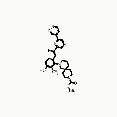 CC(C)(C)OC(=O)N1CCC2(CCCN(c3c(/C=C(\F)c4cncc(-c5ccnnc5)n4)ccc(O)c3C(F)(F)F)C2)CC1